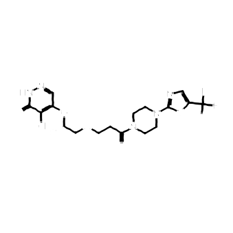 C[C@@H](COCCC(=O)N1CCN(c2ncc(C(F)(F)F)s2)CC1)Oc1cn[nH]c(=O)c1Cl